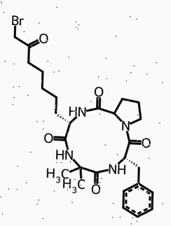 CC1(C)NC(=O)[C@H](CCCCCC(=O)CBr)NC(=O)C2CCCN2C(=O)[C@H](Cc2ccccc2)NC1=O